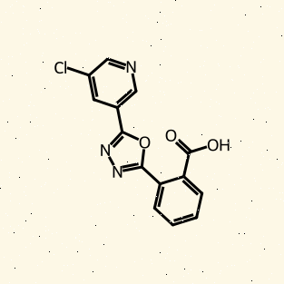 O=C(O)c1ccccc1-c1nnc(-c2cncc(Cl)c2)o1